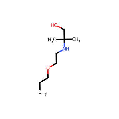 CCCOCCNC(C)(C)CO